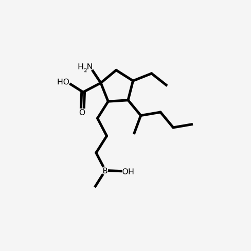 CCCC(C)C1C(CC)CC(N)(C(=O)O)C1CCCB(C)O